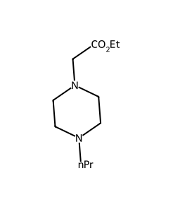 CCCN1CCN(CC(=O)OCC)CC1